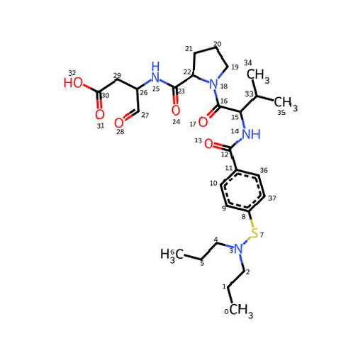 CCCN(CCC)Sc1ccc(C(=O)NC(C(=O)N2CCCC2C(=O)NC(C=O)CC(=O)O)C(C)C)cc1